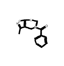 Cc1noc2c1CN(C(=O)c1ccccc1)CC2